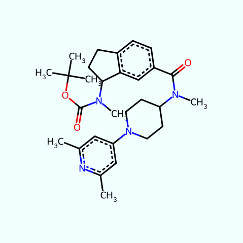 Cc1cc(N2CCC(N(C)C(=O)c3ccc4c(c3)C(N(C)C(=O)OC(C)(C)C)CC4)CC2)cc(C)n1